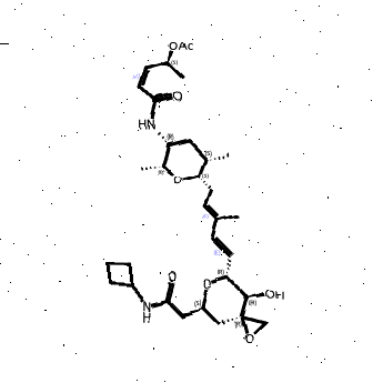 CC(=O)O[C@@H](C)/C=C\C(=O)N[C@@H]1C[C@H](C)[C@H](C/C=C(C)/C=C/[C@H]2O[C@H](CC(=O)NC3CCC3)C[C@@]3(CO3)[C@@H]2O)O[C@@H]1C